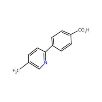 O=C(O)c1ccc(-c2ccc(C(F)(F)F)cn2)cc1